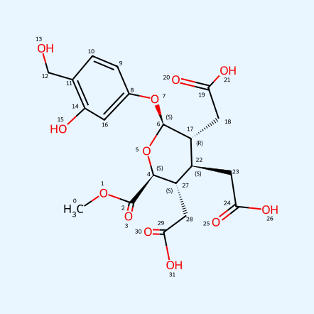 COC(=O)[C@H]1O[C@@H](Oc2ccc(CO)c(O)c2)[C@H](CC(=O)O)[C@@H](CC(=O)O)[C@@H]1CC(=O)O